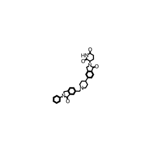 O=C1CCC(N2Cc3cc(C4CCN(Cc5ccc6c(c5)C(=O)N(c5ccccc5)C6)CC4)ccc3C2=O)C(=O)N1